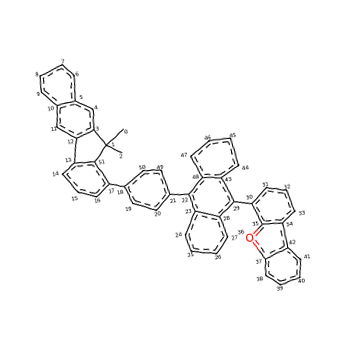 CC1(C)c2cc3ccccc3cc2-c2cccc(-c3ccc(-c4c5ccccc5c(-c5cccc6c5oc5ccccc56)c5ccccc45)cc3)c21